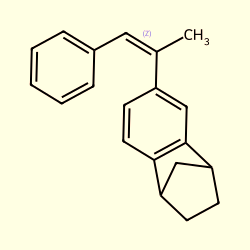 C/C(=C/c1ccccc1)c1ccc2c(c1)C1CCC2C1